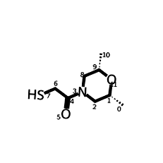 C[C@@H]1CN(C(=O)CS)C[C@H](C)O1